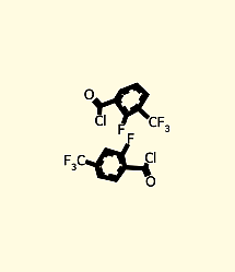 O=C(Cl)c1ccc(C(F)(F)F)cc1F.O=C(Cl)c1cccc(C(F)(F)F)c1F